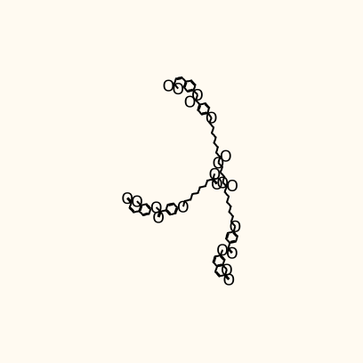 O=C(CCCCCCCOc1ccc(C(=O)Oc2ccc3ccc(=O)oc3c2)cc1)OCC(COC(=O)CCCCCCCOc1ccc(C(=O)Oc2ccc3ccc(=O)oc3c2)cc1)OC(=O)CCCCCCCOc1ccc(C(=O)Oc2ccc3ccc(=O)oc3c2)cc1